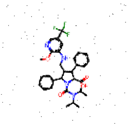 COc1ncc(C(F)(F)F)cc1NCC1C(c2ccccc2)C(C(=O)O)N(C(=O)N(C(C)C)C(C)C)C1c1ccccc1